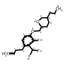 C=CCCc1ccc(OCC2CCC(CCC)CO2)c(F)c1C(F)F